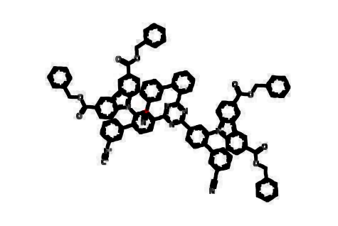 [C-]#[N+]c1cccc(-c2ccc(-c3nc(-c4ccc(-c5cccc(C#N)c5)c(-n5c6ccc(C(=O)OCc7ccccc7)cc6c6cc(C(=O)OCc7ccccc7)ccc65)c4)nc(-c4ccccc4-c4cccc(C#N)c4)n3)cc2-n2c3ccc(C(=O)OCc4ccccc4)cc3c3cc(C(=O)OCc4ccccc4)ccc32)c1